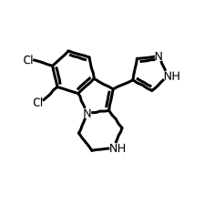 Clc1ccc2c(-c3cn[nH]c3)c3n(c2c1Cl)CCNC3